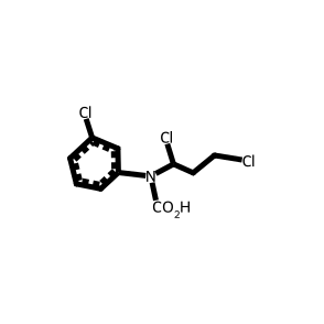 O=C(O)N(c1cccc(Cl)c1)C(Cl)CCCl